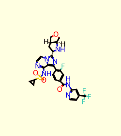 O=C(Nc1cc(C(F)(F)F)ccn1)c1ccc(-c2nc([C@@H]3C[C@H]4COC[C@H]4N3)n3ccnc(NS(=O)(=O)C4CC4)c23)c(F)c1